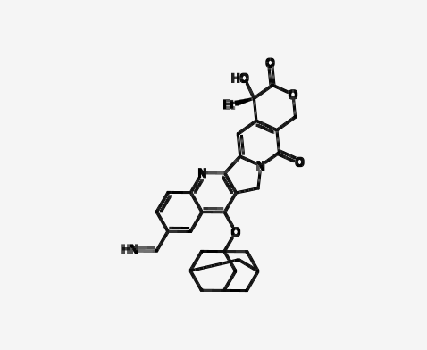 CC[C@@]1(O)C(=O)OCc2c1cc1n(c2=O)Cc2c-1nc1ccc(C=N)cc1c2OC12CC3CC(CC(C3)C1)C2